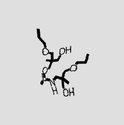 C=CCOCC(C)(CO)COB(C)NCC(C)(CO)COCCC